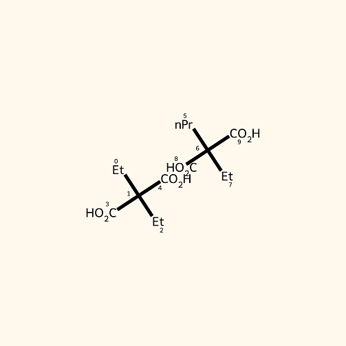 CCC(CC)(C(=O)O)C(=O)O.CCCC(CC)(C(=O)O)C(=O)O